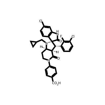 O=C(O)c1ccc(N2CC[C@@H]3[C@H](C2=O)[C@@H](c2cccc(Cl)c2F)[C@@]2(C(=O)Nc4cc(Cl)ccc42)N3CC2CC2)cc1